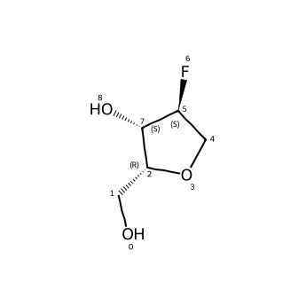 OC[C@H]1OC[C@H](F)[C@H]1O